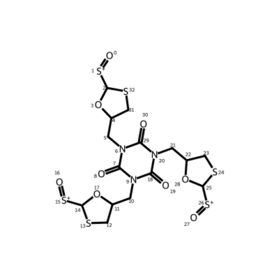 O=[S+]C1OC(Cn2c(=O)n(CC3CSC([S+]=O)O3)c(=O)n(CC3CSC([S+]=O)O3)c2=O)CS1